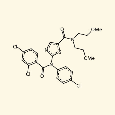 COCCN(CCOC)C(=O)c1cnc(N(C(=O)c2ccc(Cl)cc2Cl)c2ccc(Cl)cc2)s1